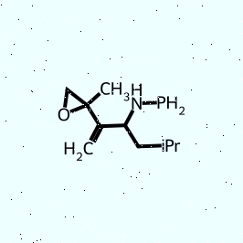 C=C(C(CC(C)C)NP)C1(C)CO1